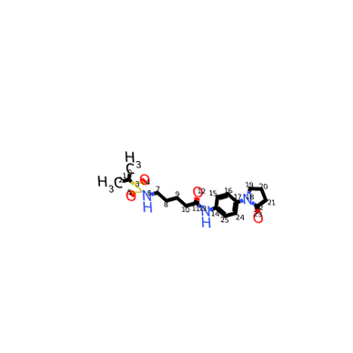 CC(C)S(=O)(=O)NCCCCC(=O)Nc1ccc(N2CCCC2=O)cc1